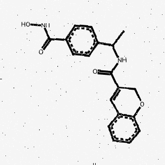 CC(NC(=O)C1=Cc2ccccc2OC1)c1ccc(C(=O)NO)cc1